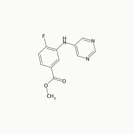 COC(=O)c1ccc(F)c(Nc2cncnc2)c1